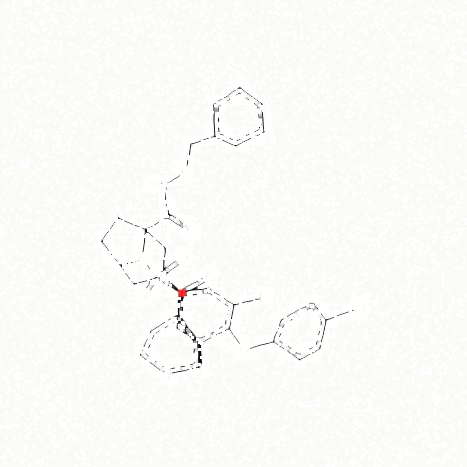 O=C(c1ccncc1)N1CC2CCC(C(=O)NOCc3ccccc3)(C1)N2S(=O)(=O)c1cc(F)c(Oc2ccc(Cl)cc2)c(F)c1